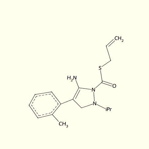 C=CCSC(=O)N1C(N)=C(c2ccccc2C)CN1C(C)C